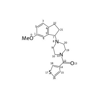 COc1ccc2c(c1)C(N1CCN(C(=O)c3ccsc3)CC1)CC2